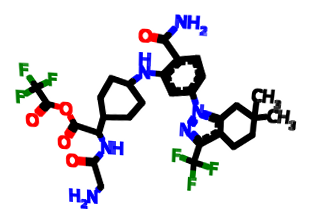 CC1(C)CCc2c(C(F)(F)F)nn(-c3ccc(C(N)=O)c(NC4CCC(C(NC(=O)CN)C(=O)OC(=O)C(F)(F)F)CC4)c3)c2C1